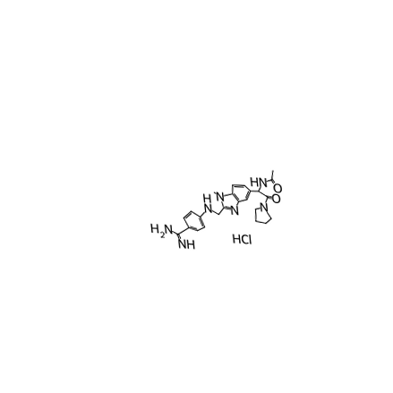 CC(=O)NC(C(=O)N1CCCC1)c1ccc2c(c1)nc(CNc1ccc(C(=N)N)cc1)n2C.Cl